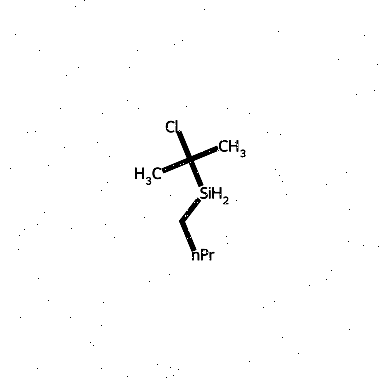 CCCC[SiH2]C(C)(C)Cl